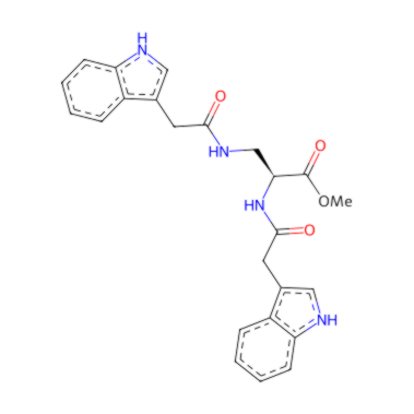 COC(=O)[C@H](CNC(=O)Cc1c[nH]c2ccccc12)NC(=O)Cc1c[nH]c2ccccc12